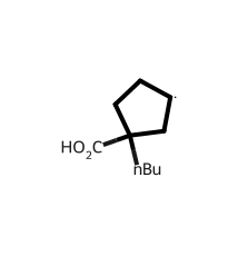 CCCCC1(C(=O)O)C[CH]CC1